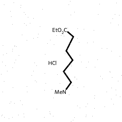 CCOC(=O)CCCCCNC.Cl